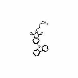 CCCCN1C(=O)c2ccc(-n3c4ccccc4c4ccccc43)cc2C1=O